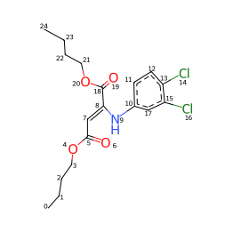 CCCCOC(=O)/C=C(\Nc1ccc(Cl)c(Cl)c1)C(=O)OCCCC